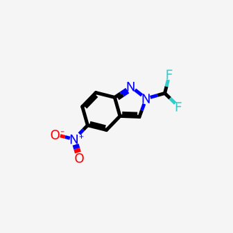 O=[N+]([O-])c1ccc2nn(C(F)F)cc2c1